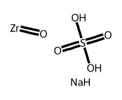 O=S(=O)(O)O.[NaH].[O]=[Zr]